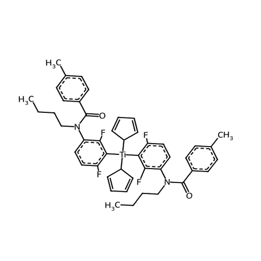 CCCCN(C(=O)c1ccc(C)cc1)c1ccc(F)[c]([Ti]([c]2c(F)ccc(N(CCCC)C(=O)c3ccc(C)cc3)c2F)([CH]2C=CC=C2)[CH]2C=CC=C2)c1F